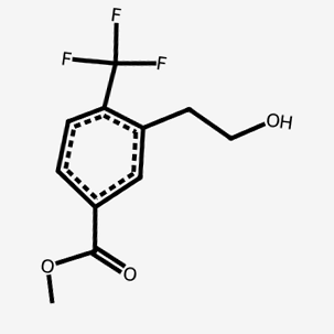 COC(=O)c1ccc(C(F)(F)F)c(CCO)c1